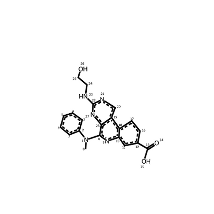 CN(c1ccccc1)c1nc2cc(C(=O)O)ccc2c2cnc(NCCO)nc12